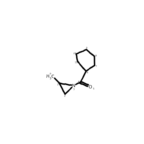 CC1CN1C(=O)C1CCCCC1